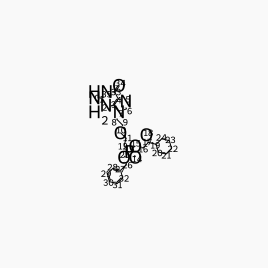 Nc1nc2c(ncn2CCOCCP(=O)(OCC(=O)C2CCCCC2)OCc2ccccc2)c(=O)[nH]1